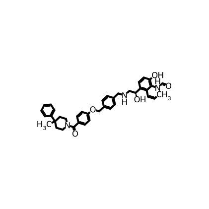 C/C=C\c1c([C@@H](O)CNCc2ccc(COc3ccc(C(=O)N4CCC(C)(c5ccccc5)CC4)cc3)cc2)ccc(O)c1NC=O